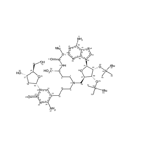 CC(C)(C)OC(=O)NC(CCN(CCCc1cn([C@@H]2C[C@H](O)[C@@H](CO)O2)c(=O)nc1N)C[C@H]1O[C@@H](n2cnc3c(N)ncnc32)[C@H](O[Si](C)(C)C(C)(C)C)[C@@H]1O[Si](C)(C)C(C)(C)C)C(=O)O